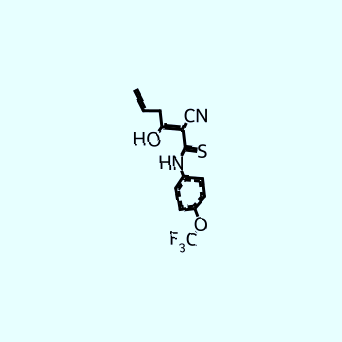 C=CCC(O)=C(C#N)C(=S)Nc1ccc(OC(F)(F)F)cc1